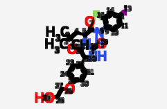 CC(C)(C)C[C@@H](C(=O)Nc1ccc(I)cc1F)N1C(=O)N[C@H](c2ccc(OCCO)cc2)C1=O